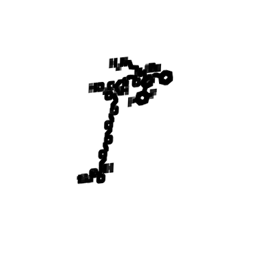 CC(C)(C)OC(=O)NCCOCCOCCOCCOCCC(=O)NC(CSCC(=O)N(CCCN)C(c1cc(-c2cc(F)ccc2F)cn1Cc1ccccc1)C(C)(C)C)C(=O)O